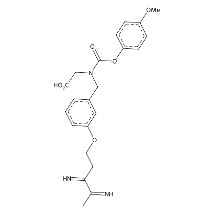 COc1ccc(OC(=O)N(CC(=O)O)Cc2cccc(OCCC(=N)C(C)=N)c2)cc1